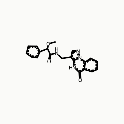 COC(C(=O)NCc1cnn2c1[nH]c(=O)c1ccccc12)c1ccccc1